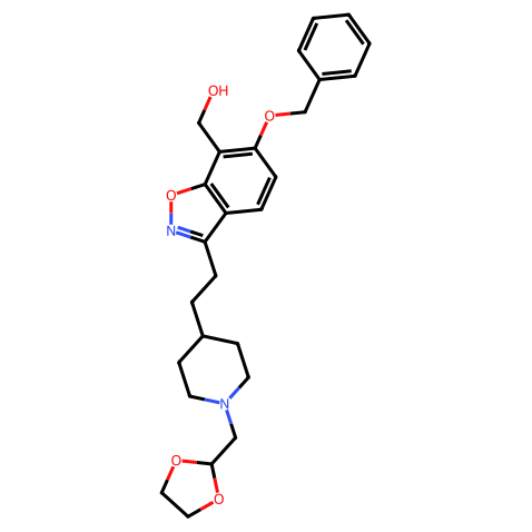 OCc1c(OCc2ccccc2)ccc2c(CCC3CCN(CC4OCCO4)CC3)noc12